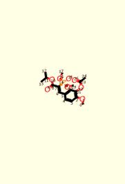 COc1ccc(C=C(C(=O)OC(C)C)P(=O)(OC)OC)cc1OC(C)=O